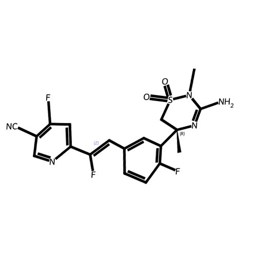 CN1C(N)=N[C@](C)(c2cc(/C=C(\F)c3cc(F)c(C#N)cn3)ccc2F)CS1(=O)=O